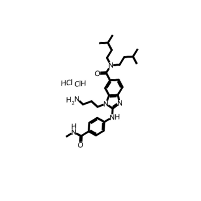 CNC(=O)c1ccc(Nc2nc3ccc(C(=O)N(CCC(C)C)CCC(C)C)cc3n2CCCN)cc1.Cl.Cl